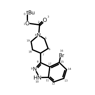 CC(C)(C)OC(=O)N1CCC(c2n[nH]c3cccc(Br)c23)CC1